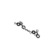 O=C1CC2(CCCCC2)Oc2cc(OCCCCN3CCC(c4noc5cc(F)ccc45)CC3)ccc21